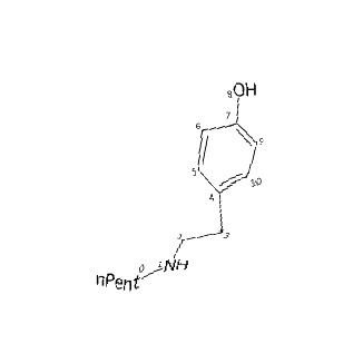 CCCCCNCCc1ccc(O)cc1